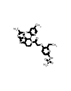 CCc1nc(NS(C)(=O)=O)ccc1OCC(=O)N1CCc2nc3sc(C)nn3c2[C@H]1c1ncc(C)cc1F